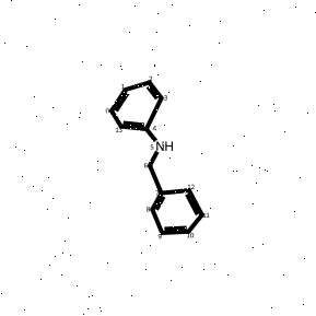 [c]1cccc(NCc2ccccc2)c1